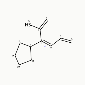 C=C/C=C(\C(=C)S)C1CCCC1